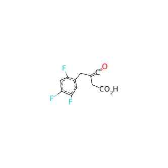 O=C=C(CC(=O)O)Cc1cc(F)c(F)cc1F